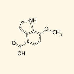 COc1ccc(C(=O)O)c2cc[nH]c12